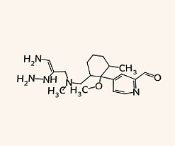 COC1(c2ccnc(C=O)c2)C(C)CCCC1CN(C)C/C(=C/N)NN